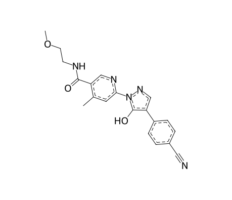 COCCNC(=O)c1cnc(-n2ncc(-c3ccc(C#N)cc3)c2O)cc1C